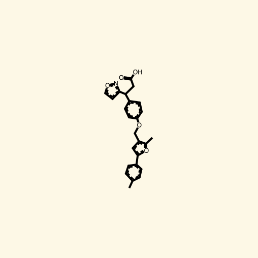 Cc1ccc(-c2cc(COc3ccc(C(CC(=O)O)c4ccon4)cc3)c(C)o2)cc1